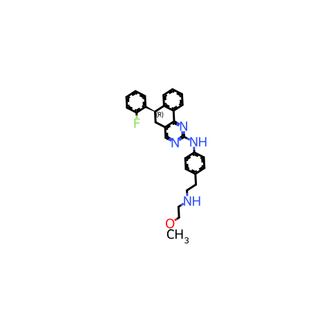 COCCNCCc1ccc(Nc2ncc3c(n2)-c2ccccc2[C@H](c2ccccc2F)C3)cc1